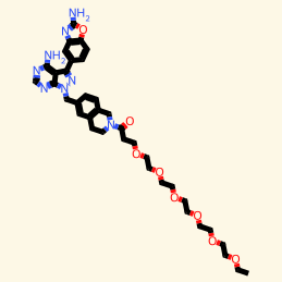 CCOCCOCCOCCOCCOCCOCCC(=O)N1CCc2cc(Cn3nc(-c4ccc5oc(N)nc5c4)c4c(N)ncnc43)ccc2C1